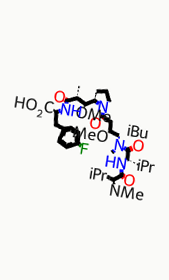 CC[C@H](C)[C@@H]([C@@H](CC(=O)N1CCC[C@H]1[C@H](OC)[C@@H](C)C(=O)N[C@@H](Cc1ccc(F)cc1)C(=O)O)OC)N(C)C(=O)[C@@H](NC(=O)[C@@H](NC)C(C)C)C(C)C